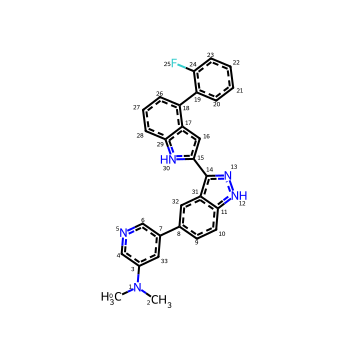 CN(C)c1cncc(-c2ccc3[nH]nc(-c4cc5c(-c6ccccc6F)cccc5[nH]4)c3c2)c1